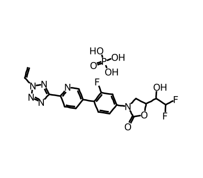 C=Cn1nnc(-c2ccc(-c3ccc(N4CC(C(O)C(F)F)OC4=O)cc3F)cn2)n1.O=P(O)(O)O